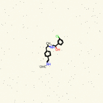 CC(Cc1ccc(/C=C/NC=O)cc1)NCC(O)c1cccc(Cl)c1